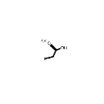 O=C(O)CI.[Cd]